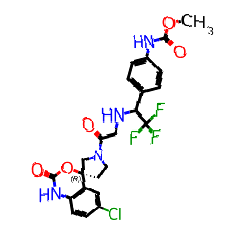 COC(=O)Nc1ccc(C(NCC(=O)N2CC[C@@]3(C2)OC(=O)Nc2ccc(Cl)cc23)C(F)(F)F)cc1